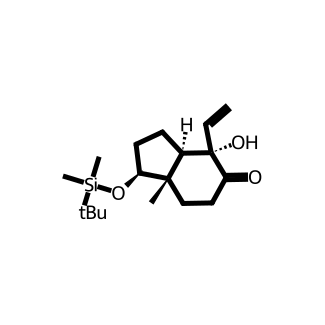 C=C[C@@]1(O)C(=O)CC[C@]2(C)[C@@H](O[Si](C)(C)C(C)(C)C)CC[C@H]21